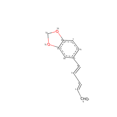 O=[C]C=CC=Cc1ccc2c(c1)OCO2